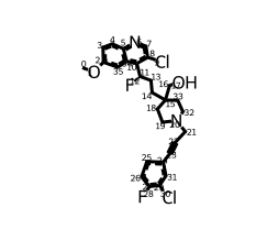 COc1ccc2ncc(Cl)c([C@H](F)CCC3(CO)CCN(CC#Cc4ccc(F)c(Cl)c4)CC3)c2c1